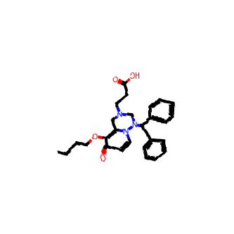 CCCCOc1c2n(ccc1=O)N(C(c1ccccc1)c1ccccc1)CN(CCC(=O)O)C2